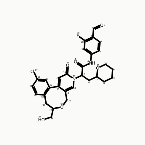 O=Cc1ccc(NC(=O)C(CC2CCCCO2)n2cc3c(cc2=O)-c2cc(Cl)ccc2CC(CO)OC3)cc1F